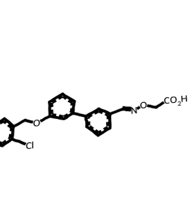 O=C(O)CO/N=C/c1cccc(-c2cccc(OCc3ccccc3Cl)c2)c1